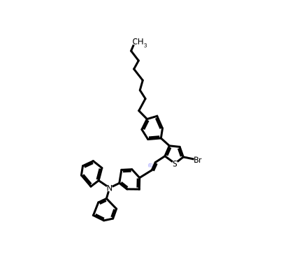 CCCCCCCCc1ccc(-c2cc(Br)sc2/C=C/c2ccc(N(c3ccccc3)c3ccccc3)cc2)cc1